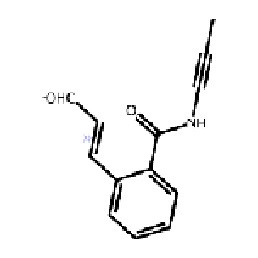 CC#CNC(=O)c1ccccc1/C=C/[C]=O